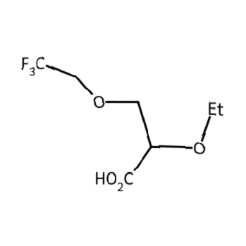 CCOC(COCC(F)(F)F)C(=O)O